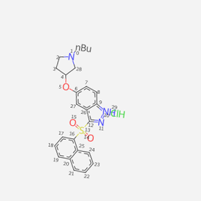 CCCCN1CCC(Oc2ccc3[nH]nc(S(=O)(=O)c4cccc5ccccc45)c3c2)C1.Cl